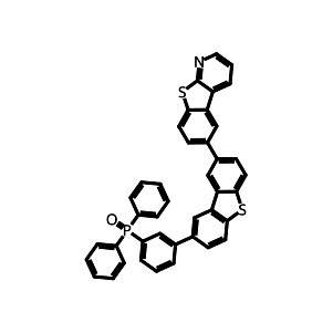 O=P(c1ccccc1)(c1ccccc1)c1cccc(-c2ccc3sc4ccc(-c5ccc6sc7ncccc7c6c5)cc4c3c2)c1